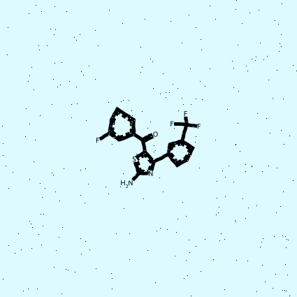 Nc1nc(-c2cccc(C(F)(F)F)c2)c(C(=O)c2cccc(F)c2)s1